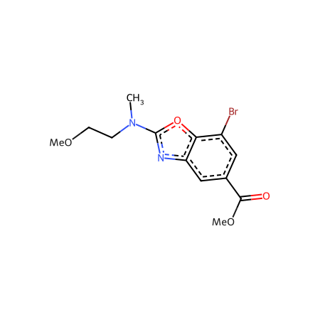 COCCN(C)c1nc2cc(C(=O)OC)cc(Br)c2o1